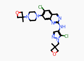 CC1(Cn2ncc(Nc3ncc4cc(Cl)c(N5CCN(C6(C)COC6)CC5)cc4n3)c2Cl)COC1